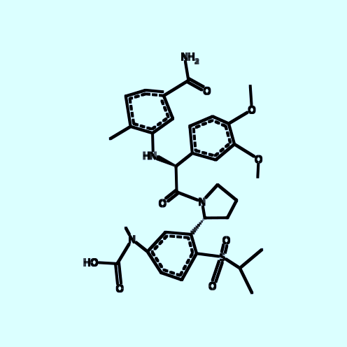 COc1ccc([C@H](Nc2cc(C(N)=O)ccc2C)C(=O)N2CCC[C@@H]2c2cc(N(C)C(=O)O)ccc2S(=O)(=O)C(C)C)cc1OC